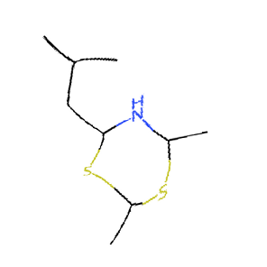 CC(C)CC1NC(C)SC(C)S1